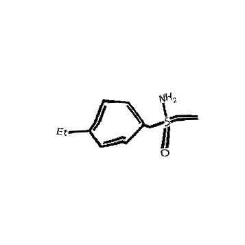 C=S(N)(=O)c1ccc(CC)cc1